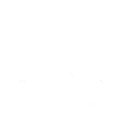 Cc1cc(N)ccc1N1CCC(N2CCCC2C)C1.O=C(O)C(F)(F)F